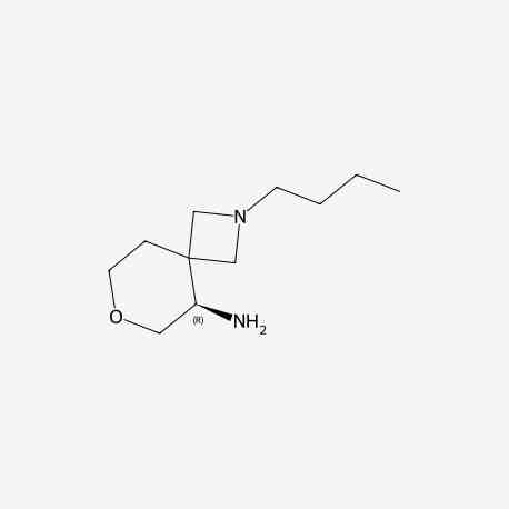 CCCCN1CC2(CCOC[C@@H]2N)C1